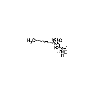 CCCCCCCCCCCC(=O)NC(CC(=O)n1cc(F)c(=O)[nH]c1=O)C(=O)O